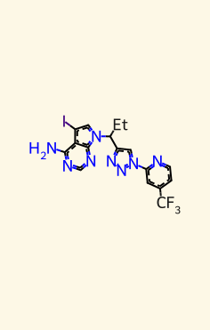 CCC(c1cn(-c2cc(C(F)(F)F)ccn2)nn1)n1cc(I)c2c(N)ncnc21